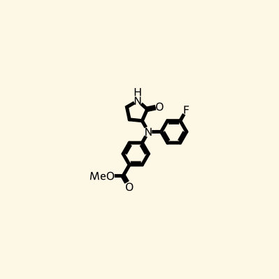 COC(=O)c1ccc(N(c2cccc(F)c2)C2CCNC2=O)cc1